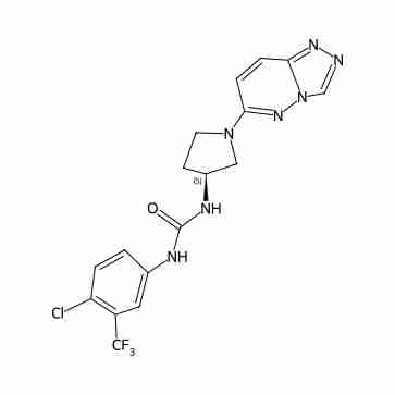 O=C(Nc1ccc(Cl)c(C(F)(F)F)c1)N[C@H]1CCN(c2ccc3nncn3n2)C1